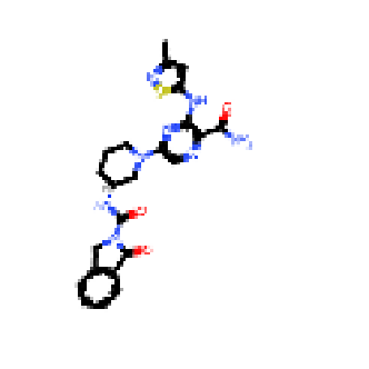 Cc1cc(Nc2nc(N3CCC[C@@H](NC(=O)N4Cc5ccccc5C4=O)C3)cnc2C(N)=O)sn1